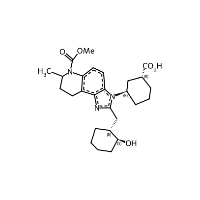 COC(=O)N1c2ccc3c(nc(C[C@H]4CCCC[C@@H]4O)n3[C@@H]3CCC[C@@H](C(=O)O)C3)c2CCC1C